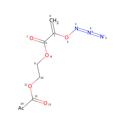 C=C(ON=[N+]=[N-])C(=O)OCCOC(=O)C(C)=O